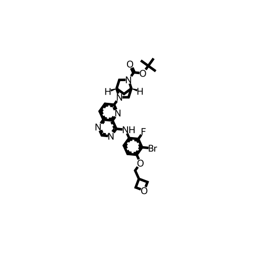 CC(C)(C)OC(=O)N1C[C@@H]2C[C@H]1CN2c1ccc2ncnc(Nc3ccc(OCC4COC4)c(Br)c3F)c2n1